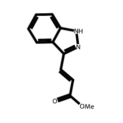 COC(=O)/C=C/c1n[nH]c2ccccc12